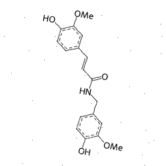 COc1cc(C=CC(=O)NCc2ccc(O)c(OC)c2)ccc1O